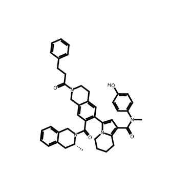 C[C@@H]1Cc2ccccc2CN1C(=O)c1cc2c(cc1-c1cc(C(=O)N(C)c3ccc(O)cc3)c3n1CCCC3)CCN(C(=O)CCc1ccccc1)C2